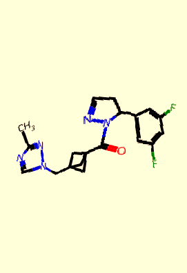 Cc1ncn(CC23CC(C(=O)N4N=CCC4c4cc(F)cc(F)c4)(C2)C3)n1